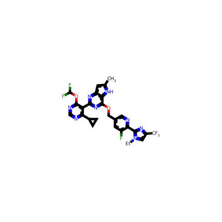 CCn1cc(C(F)(F)F)nc1-c1ncc(COc2nc(-c3c(OC(F)F)ncnc3C3CC3)nc3cc(C)[nH]c23)cc1F